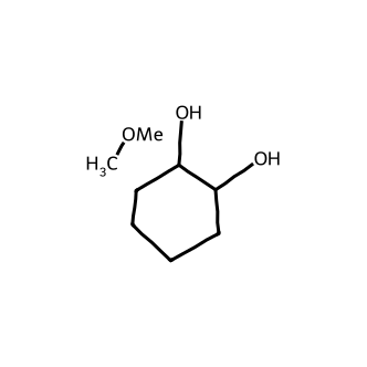 COC.OC1CCCCC1O